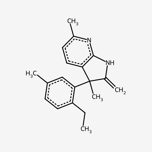 C=C1Nc2nc(C)ccc2C1(C)c1cc(C)ccc1CC